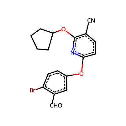 N#Cc1ccc(Oc2ccc(Br)c(C=O)c2)nc1OC1CCCC1